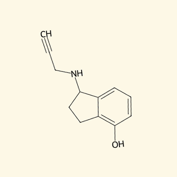 C#CCNC1CCc2c(O)cccc21